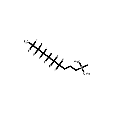 CO[Si](C)(CCCC(F)(F)C(F)(F)C(F)(F)C(F)(F)C(F)(F)C(F)(F)C(F)(F)F)OC